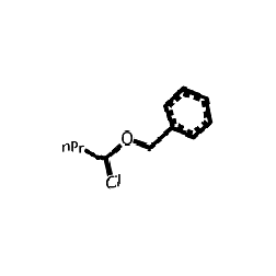 CCCC(Cl)OCc1ccccc1